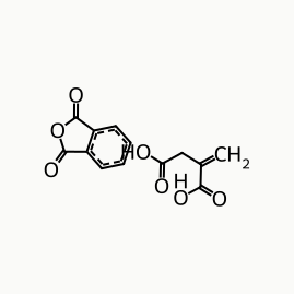 C=C(CC(=O)O)C(=O)O.O=C1OC(=O)c2ccccc21